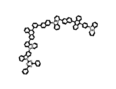 C1=CB2N(C=C1)c1ccccc1N2c1ccc(-c2c3ccccc3c(-c3ccc4cc(C5=CC=CB6N5c5ccccc5N6c5ccc6cc(-c7cccc(-c8cc9ccc(-c%10cccc%11c%10N%10C=CC=CB%10N%11c%10ccc%11c(c%10)c%10ccccc%10n%11-c%10nc(-c%11ccccc%11)nc(-c%11ccccc%11)n%10)cc9c9ccccc89)c7)ccc6c5)ccc4c3)c3ccccc23)cc1